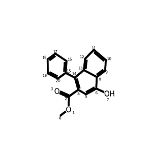 COC(=O)c1cc(O)c2ccccc2c1-c1ccccc1